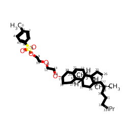 Cc1ccc(S(=O)(=O)OCCOCCO[C@H]2CC[C@@]3(C)C(=CC[C@H]4[C@@H]5CC[C@H]([C@H](C)CCCC(C)C)[C@@]5(C)CC[C@@H]43)C2)cc1